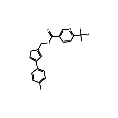 O=C(OCc1cc(-c2ccc(Cl)cc2)no1)c1ccc(C(F)(F)F)nc1